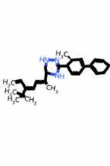 C=C/C(=C\C=C(/C)C1CNN=C(C2C=CC(C3=CCCC=C3)=C[C@@H]2C)N1)C(C)(C)C